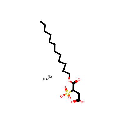 CCCCCCCCCCCCOC(=O)C(CC(=O)[O-])S(=O)(=O)[O-].[Na+].[Na+]